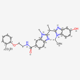 CCOC(=O)c1ccccc1OCCNC(=O)c1ccc2nc(C(C)c3nc4cc(O)ccc4n3COC(C)=O)n(C)c2c1